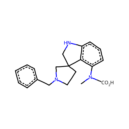 CN(C(=O)O)c1cccc2c1C1(CCN(Cc3ccccc3)C1)CN2